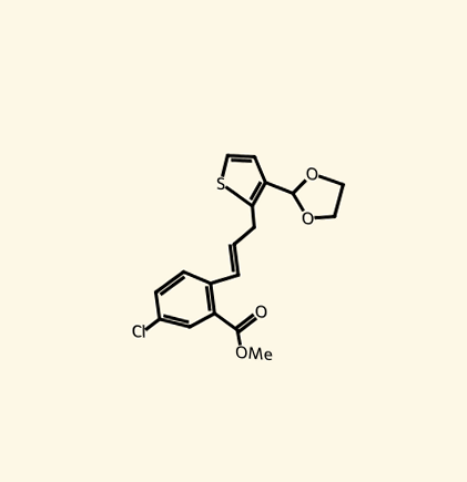 COC(=O)c1cc(Cl)ccc1C=CCc1sccc1C1OCCO1